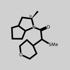 CSC(C(=O)N1C2CCCC2C[C@H]1C)C1CCOCC1